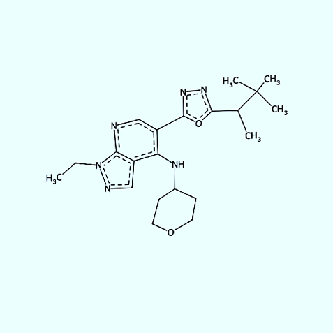 CCn1ncc2c(NC3CCOCC3)c(-c3nnc(C(C)C(C)(C)C)o3)cnc21